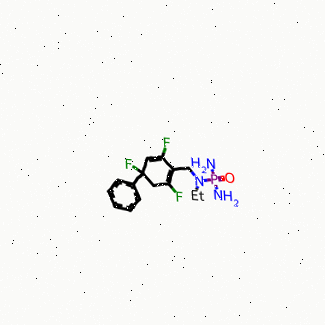 CCN(CC1=C(F)CC(F)(c2ccccc2)C=C1F)P(N)(N)=O